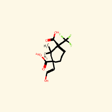 CC1(C)C(C=CO)(C(=O)O)CCC1(C(=O)O)C(F)(F)F